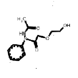 CC(=O)NN(C(=O)COCCO)c1ccccc1